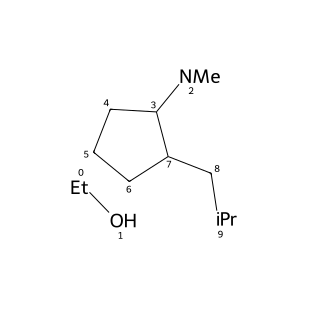 CCO.CNC1CCCC1CC(C)C